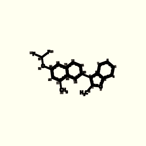 Cc1oc2ccccc2c1-c1ccc2cc(OC(F)F)cc(C)c2n1